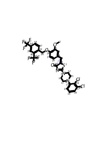 COc1cc(/C=C2/SC(N3CCN(c4cccc(Cl)c4Cl)CC3)=NC2=O)ccc1OCc1ccc(C(F)(F)F)cc1C(F)(F)F